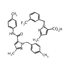 Cc1cc(C(=O)O)n(Cc2cccc(C(F)(F)F)c2)n1.Cc1ccc(Cn2nc(C)cc2C(=O)Nc2ccc(C)cc2)cc1